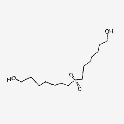 O=S(=O)(CCCCCCCO)CCCCCCCO